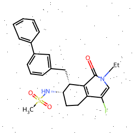 CCn1cc(F)c2c(c1=O)[C@@H](Cc1cccc(-c3ccccc3)c1)[C@@H](NS(C)(=O)=O)CC2